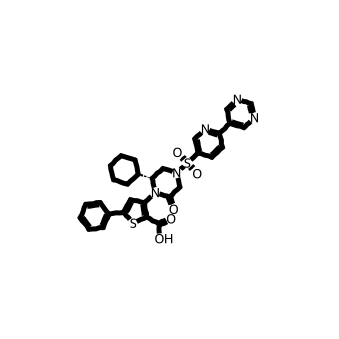 O=C(O)c1sc(-c2ccccc2)cc1N1C(=O)CN(S(=O)(=O)c2ccc(-c3cncnc3)nc2)C[C@H]1C1CCCCC1